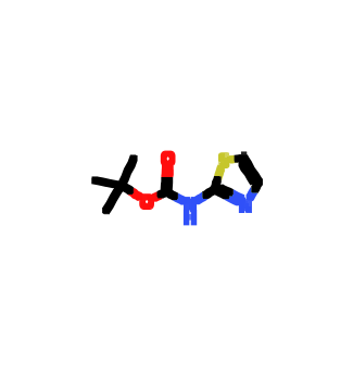 CC(C)(C)OC(=O)Nc1nc[c]s1